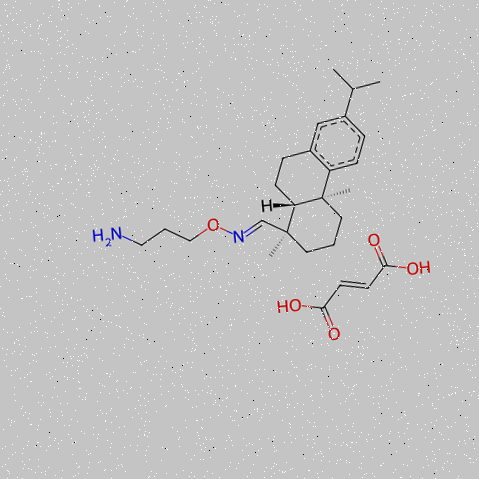 CC(C)c1ccc2c(c1)CC[C@H]1[C@](C)(/C=N/OCCCN)CCC[C@]21C.O=C(O)/C=C/C(=O)O